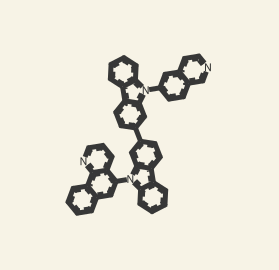 c1ccc2c(c1)cc(-n1c3ccccc3c3ccc(-c4ccc5c6ccccc6n(-c6ccc7cnccc7c6)c5c4)cc31)c1cccnc12